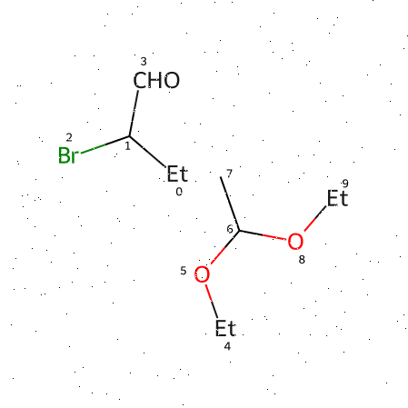 CCC(Br)C=O.CCOC(C)OCC